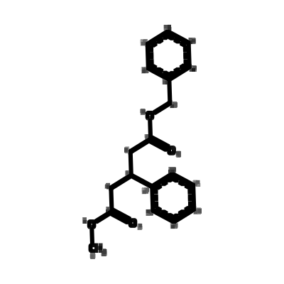 COC(=O)CC(CC(=O)OCc1ccccc1)c1ccccc1